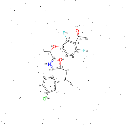 CCCc1oc(C(C)Oc2ccc(F)c(C(C)=O)c2F)nc1-c1ccc(Cl)cc1